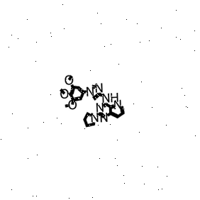 COc1cc(-n2cnc(Nc3nc(N4CCCC4)nc4cccnc34)c2)cc(OC)c1OC